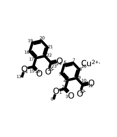 COC(=O)c1ccccc1C(=O)[O-].COC(=O)c1ccccc1C(=O)[O-].[Cu+2]